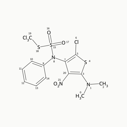 CN(C)c1sc(Cl)c(N(c2ccccc2)S(=O)(=O)SC(Cl)(Cl)Cl)c1[N+](=O)[O-]